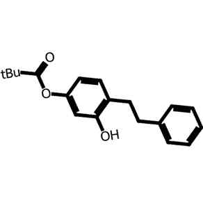 CC(C)(C)C(=O)Oc1ccc(CCc2ccccc2)c(O)c1